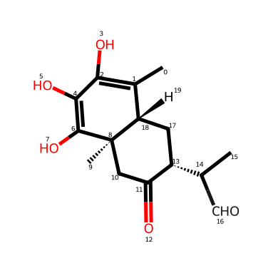 CC1=C(O)C(O)=C(O)[C@]2(C)CC(=O)[C@@H](C(C)C=O)C[C@@H]12